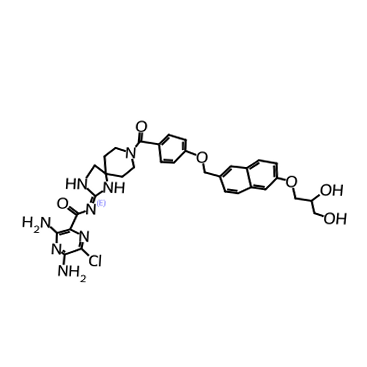 Nc1nc(N)c(C(=O)/N=C2\NCC3(CCN(C(=O)c4ccc(OCc5ccc6cc(OCC(O)CO)ccc6c5)cc4)CC3)N2)nc1Cl